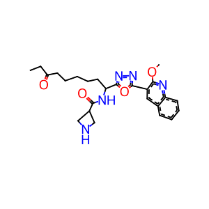 CCC(=O)CCCCCC(NC(=O)C1CNC1)c1nnc(-c2cc3ccccc3nc2OC)o1